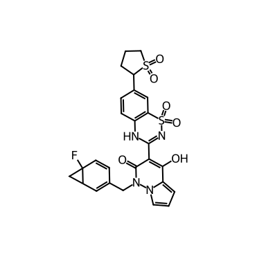 O=c1c(C2=NS(=O)(=O)c3cc(C4CCCS4(=O)=O)ccc3N2)c(O)c2cccn2n1CC1=CC2CC2(F)C=C1